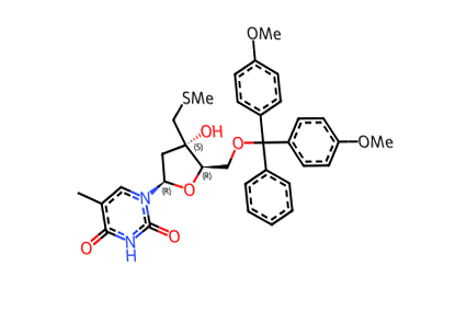 COc1ccc(C(OC[C@H]2O[C@@H](n3cc(C)c(=O)[nH]c3=O)C[C@@]2(O)CSC)(c2ccccc2)c2ccc(OC)cc2)cc1